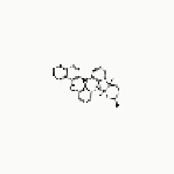 CC12CCC(F)CC1(C)N1c3cccc4c3B(c3cccc2c31)c1ccc2ccccc2c1O4